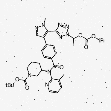 Cc1cccnc1N(C(=O)c1ccc(-c2cnn(C)c2-c2nnn(C(C)OC(=O)OC(C)C)n2)cc1)[C@@H]1CCCN(C(=O)OC(C)(C)C)C1